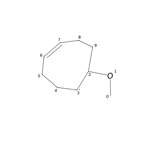 COC1[CH]CCC=CCC1